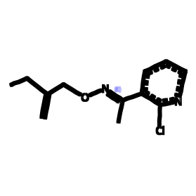 C=C(CC)CO/N=C(\C)c1cccnc1Cl